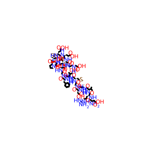 CSCC[C@H](NC(=O)CNC(=O)[C@H](CC(=O)O)NC(=O)[C@H](C)NC(=O)[C@@H](NC(=O)[C@H](CCCNC(=N)N)NC(=O)[C@@H](N)CC(=O)O)C(C)C)C(=O)N[C@H](C(=O)N[C@@H](Cc1ccccc1)C(=O)NCC(=O)N[C@@H](C)C(=O)N[C@@H](CC(C)C)C(=O)N[C@@H](CC(C)C)C(=O)N1CCC[C@H]1C(=O)N[C@@H](CS)C(=O)N[C@@H](CCC(=O)O)C(=O)N[C@@H](CCC(=O)O)C(=O)N[C@@H](CS)C(=O)N[C@@H](CO)C(=O)NCC(=O)O)C(C)C